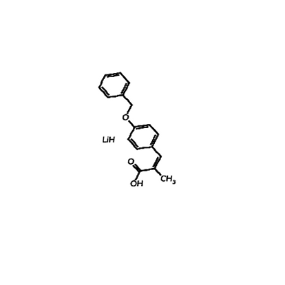 CC(=Cc1ccc(OCc2ccccc2)cc1)C(=O)O.[LiH]